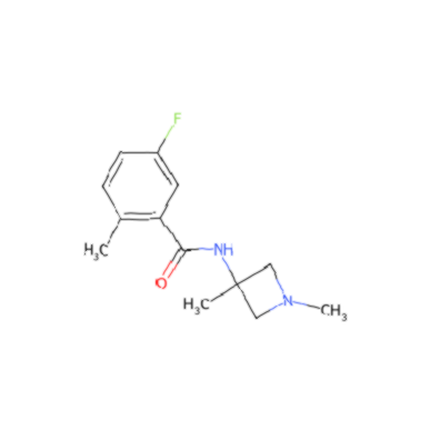 Cc1ccc(F)cc1C(=O)NC1(C)CN(C)C1